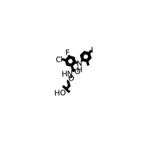 Cc1cc(I)ccc1Nc1cc(F)c(Cl)cc1C(=O)NOCCC(C)(C)O